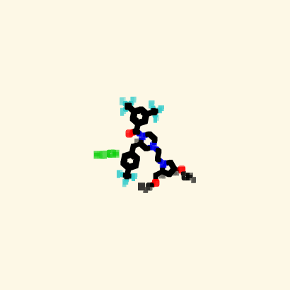 COC[C@@H]1C[C@@H](OC)CN1CCN1CCN(C(=O)c2cc(C(F)(F)F)cc(C(F)(F)F)c2)[C@H](Cc2ccc(C(F)(F)F)cc2)C1.Cl.Cl